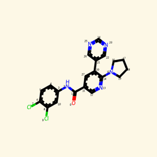 O=C(Nc1ccc(Cl)c(Cl)c1)c1cnc(N2CCCC2)c(-c2cncnc2)c1